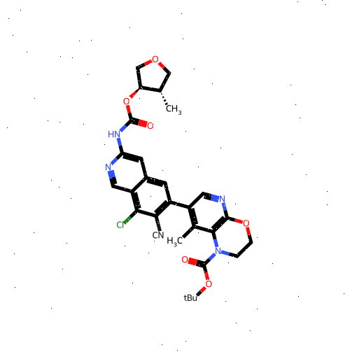 Cc1c(-c2cc3cc(NC(=O)O[C@H]4COC[C@@H]4C)ncc3c(Cl)c2C#N)cnc2c1N(C(=O)OC(C)(C)C)CCO2